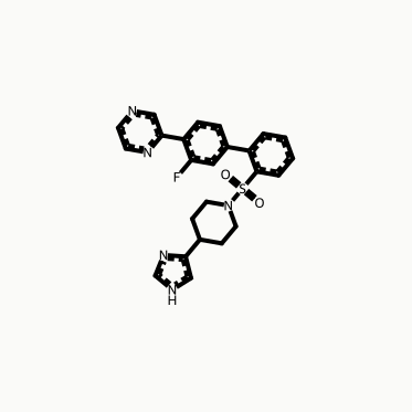 O=S(=O)(c1ccccc1-c1ccc(-c2cnccn2)c(F)c1)N1CCC(c2c[nH]cn2)CC1